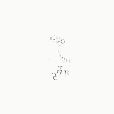 C#Cc1cccc2cccc(-c3ncc4c(N5CC6CCC(C5)N6)nc(OC[C@@H]5C[C@H](N6CCN(CC7CCN(c8cccc9c8C(=O)N(C8CCC(=O)NC8=O)C9=O)CC7)CC6)CN5C)nc4c3F)c12.Cl